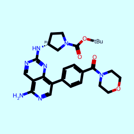 CC(C)(C)OC(=O)N1CC[C@@H](Nc2ncc3c(N)ncc(-c4ccc(C(=O)N5CCOCC5)cc4)c3n2)C1